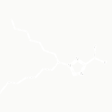 CCCCCCCC(CCCCCCC)n1cnc(C(F)F)n1